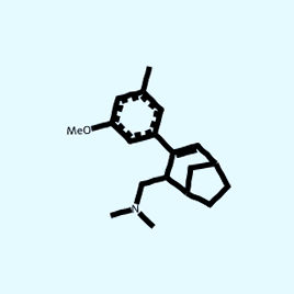 COc1cc(C)cc(C2=CC3CCC(C3)C2CN(C)C)c1